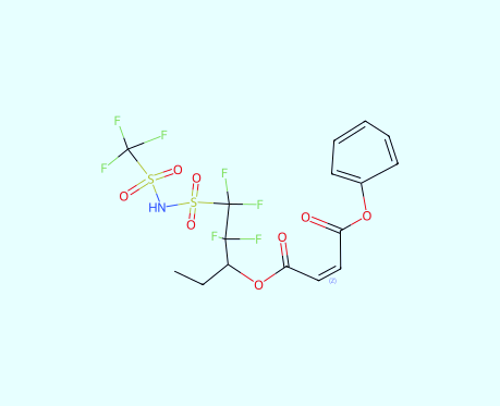 CCC(OC(=O)/C=C\C(=O)Oc1ccccc1)C(F)(F)C(F)(F)S(=O)(=O)NS(=O)(=O)C(F)(F)F